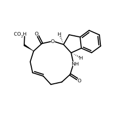 O=C(O)C[C@@H]1C/C=C/CCC(=O)N[C@@H]2c3ccccc3C[C@@H]2OC1=O